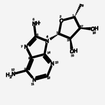 C[C@H]1O[C@@H](n2c([NH])nc3c(N)ncnc32)[C@H](O)[C@@H]1O